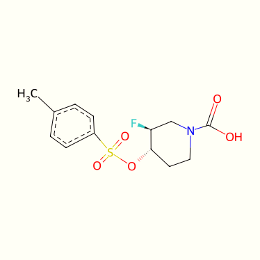 Cc1ccc(S(=O)(=O)O[C@H]2CCN(C(=O)O)C[C@@H]2F)cc1